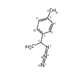 Cc1ccc(C(C)N=[N+]=[N-])cc1